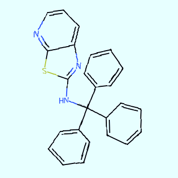 c1ccc(C(Nc2nc3cccnc3s2)(c2ccccc2)c2ccccc2)cc1